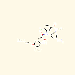 CCCN(C(=O)c1ccc(Cl)c(NC(=O)c2cc3cc(OCCOC)c(OC)cc3[nH]c2=O)c1)c1cccc(N)c1